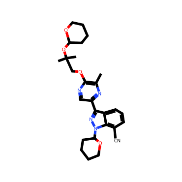 Cc1nc(-c2nn(C3CCCCO3)c3c(C#N)cccc23)cnc1OCC(C)(C)OC1CCCCO1